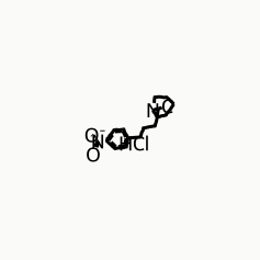 Cl.O=[N+]([O-])c1ccc(CCCC2CC3CCN2CC3)cc1